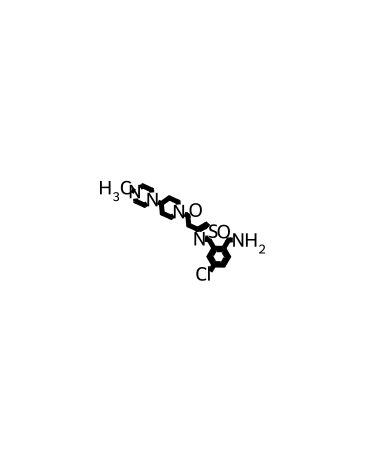 CN1CCN(C2CCN(C(=O)Cc3csc(-c4cc(Cl)ccc4C(N)=O)n3)CC2)CC1